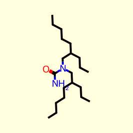 CCCCCC(CCC)CN(CC(CCC)CCCCC)C(N)=O